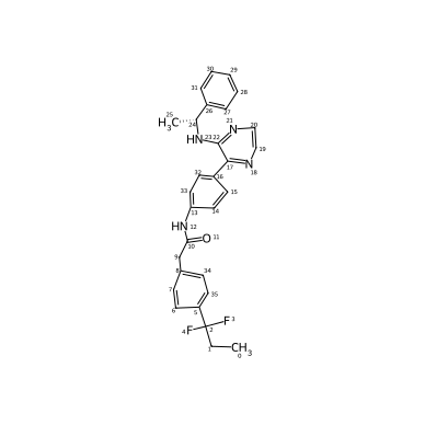 CCC(F)(F)c1ccc(CC(=O)Nc2ccc(-c3nccnc3N[C@H](C)c3ccccc3)cc2)cc1